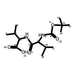 CC(C)C(NC(=O)C(NC(=O)OC(C)(C)C)C(C)C)C(=O)O